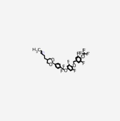 C/C=C/CCC1COC(c2ccc(C(F)(F)Oc3cc(F)c(OCc4cc(F)c(OC(F)(F)F)c(F)c4)c(F)c3)cc2)OC1